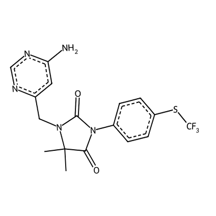 CC1(C)C(=O)N(c2ccc(SC(F)(F)F)cc2)C(=O)N1Cc1cc(N)ncn1